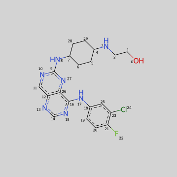 OCCNC1CCC(Nc2ncc3ncnc(Nc4ccc(F)c(Cl)c4)c3n2)CC1